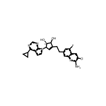 Nc1nc2cc(CCC3=CC(n4ccc5c(C6CC6)ncnc54)[C@@H](O)C3O)cc(F)c2cc1Cl